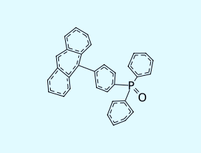 O=P(c1ccccc1)(c1ccccc1)c1ccc(-c2c3ccccc3cc3ccccc23)cc1